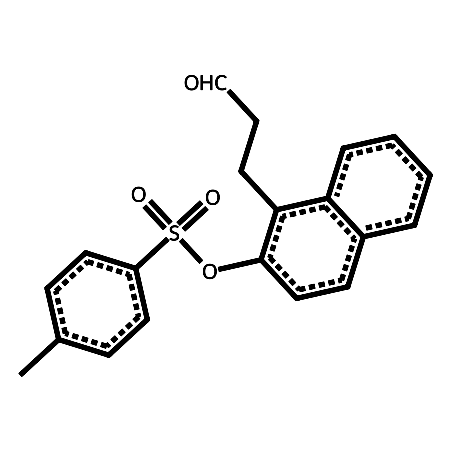 Cc1ccc(S(=O)(=O)Oc2ccc3ccccc3c2CCC=O)cc1